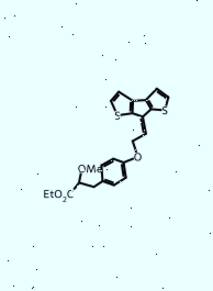 CCOC(=O)C(Cc1ccc(OCC=C2c3sccc3-c3ccsc32)cc1)OC